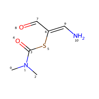 CN(C)C(=O)S/C(C=O)=C\N